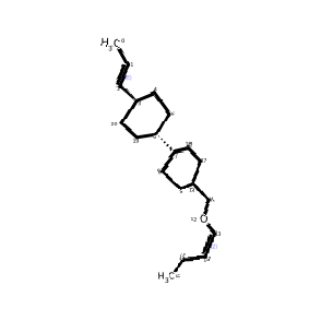 C/C=C/[C@H]1CC[C@H](C2CCC(CO/C=C\CC)CC2)CC1